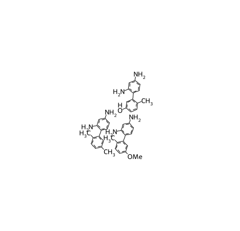 COc1ccc(C)c(-c2ccc(N)cc2N)c1.Cc1ccc(C)c(-c2ccc(N)cc2N)c1.Cc1ccc(O)cc1-c1ccc(N)cc1N